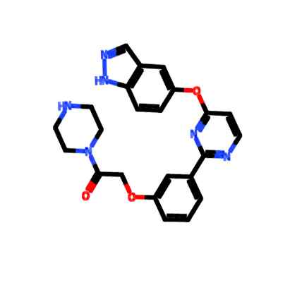 O=C(COc1cccc(-c2nccc(Oc3ccc4[nH]ncc4c3)n2)c1)N1CCNCC1